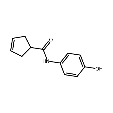 O=C(Nc1ccc(O)cc1)C1CC=CC1